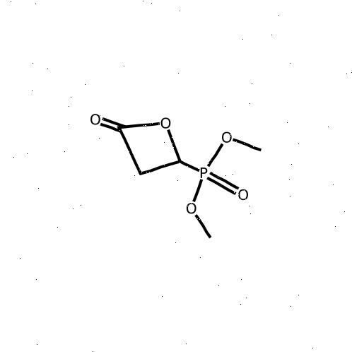 COP(=O)(OC)C1CC(=O)O1